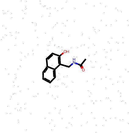 CC(=O)NCc1c(O)ccc2ccccc12